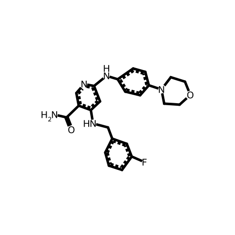 NC(=O)c1cnc(Nc2ccc(N3CCOCC3)cc2)cc1NCc1cccc(F)c1